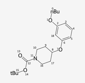 CCCCOc1cccc(OC2CCN(C(=O)OC(C)(C)C)CC2)c1